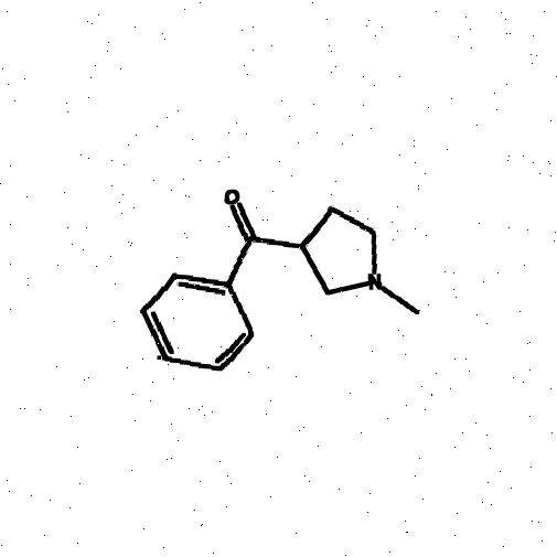 CN1CCC(C(=O)c2cc[c]cc2)C1